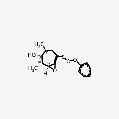 C[C@@H]1[C@H](O)[C@@H](C)CC(SOOc2ccccc2)=C2O[C@H]21